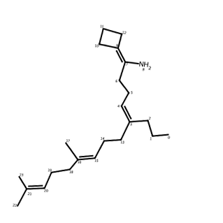 CCC/C(=C\CCC(N)=C1CCC1)CC/C=C(\C)CCC=C(C)C